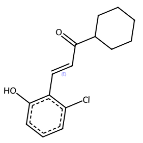 O=C(/C=C/c1c(O)cccc1Cl)C1CCCCC1